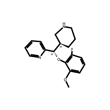 COc1cccc(F)c1O[C@H](c1ccccn1)[C@@H]1CCCNC1